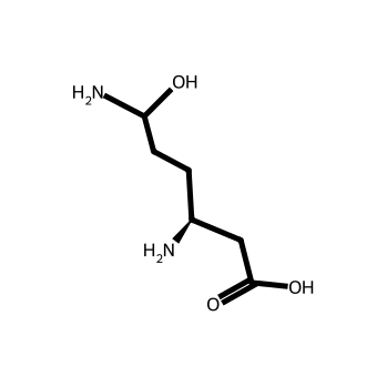 NC(O)CC[C@H](N)CC(=O)O